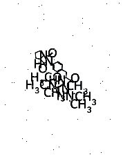 CCN(CC)c1ncc(N(C(C)=O)C(C)C)c(N[C@@H](Cc2ccc(N3C(=O)[C@H]4CCCN4C3=O)cc2)C(C)=O)n1